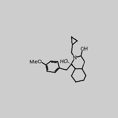 COc1ccc(C[C@]2(O)C3CCCCC3CC(O)N2CC2CC2)cc1